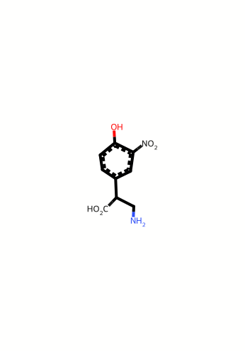 NCC(C(=O)O)c1ccc(O)c([N+](=O)[O-])c1